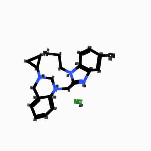 CC(C)CCn1c(CN2CN(C3CC3)Cc3ccccc32)nc2cc(C#N)ccc21.Cl